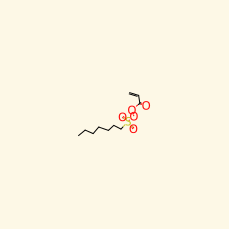 C=CC(=O)OOS(=O)(=O)CCCCCCC